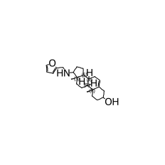 C[C@]12CCC(O)CC1=CC[C@@H]1[C@H]2CC[C@]2(C)C(NCc3ccco3)CC[C@@H]12